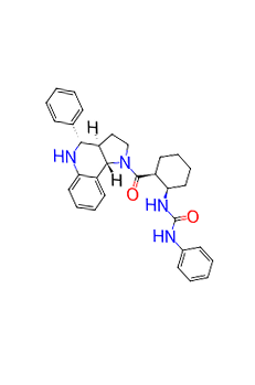 O=C(Nc1ccccc1)N[C@@H]1CCCC[C@@H]1C(=O)N1CC[C@@H]2[C@@H](c3ccccc3)Nc3ccccc3[C@H]21